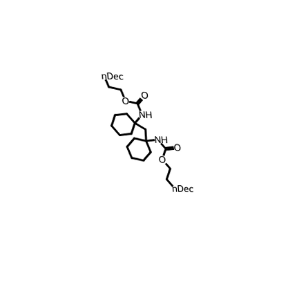 CCCCCCCCCCCCOC(=O)NC1(CC2(NC(=O)OCCCCCCCCCCCC)CCCCC2)CCCCC1